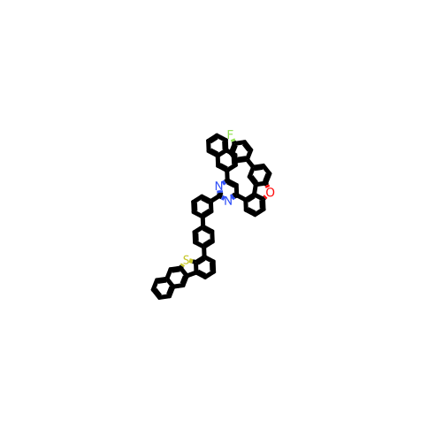 Fc1ccc(-c2ccc3oc4cccc(-c5cc(-c6ccc7ccccc7c6)nc(-c6cccc(-c7ccc(-c8cccc9c8sc8cc%10ccccc%10cc89)cc7)c6)n5)c4c3c2)cc1